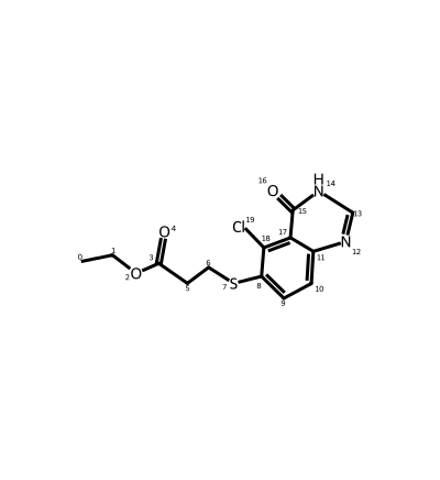 CCOC(=O)CCSc1ccc2nc[nH]c(=O)c2c1Cl